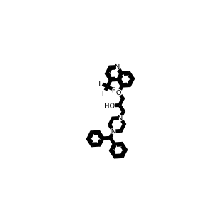 OC(COc1cccc2nccc(C(F)(F)F)c12)CN1CCN(C(c2ccccc2)c2ccccc2)CC1